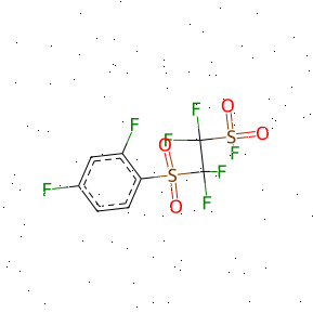 O=S(=O)(F)C(F)(F)C(F)(F)S(=O)(=O)c1ccc(F)cc1F